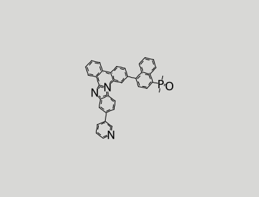 CP(C)(=O)c1ccc(-c2ccc3c4ccccc4c4nc5cc(-c6cccnc6)ccc5n4c3c2)c2ccccc12